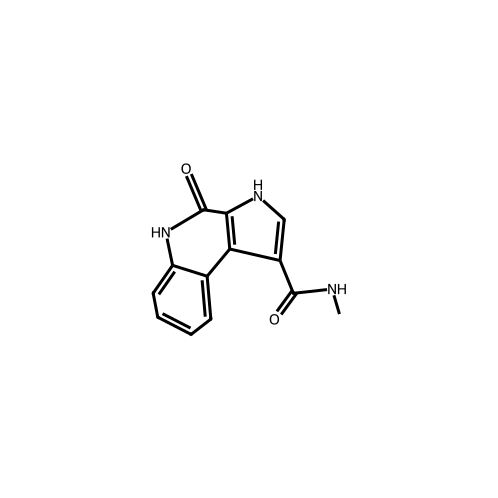 CNC(=O)c1c[nH]c2c(=O)[nH]c3ccccc3c12